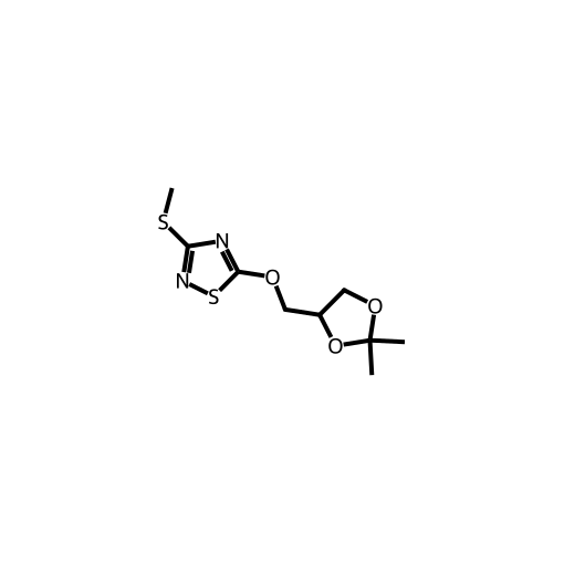 CSc1nsc(OCC2COC(C)(C)O2)n1